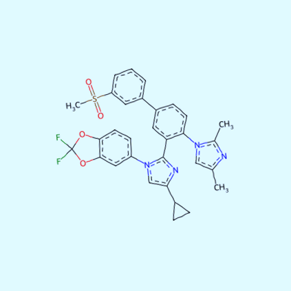 Cc1cn(-c2ccc(-c3cccc(S(C)(=O)=O)c3)cc2-c2nc(C3CC3)cn2-c2ccc3c(c2)OC(F)(F)O3)c(C)n1